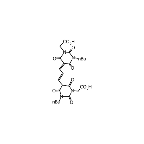 CCCCN1C(=O)/C(=C\C=C\C2C(=O)N(CCCC)C(=O)N(CC(=O)O)C2=O)C(=O)N(CC(=O)O)C1=O